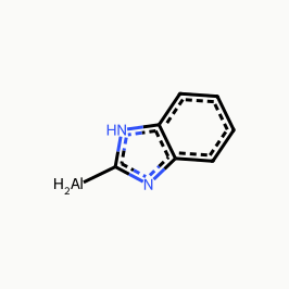 [AlH2][c]1nc2ccccc2[nH]1